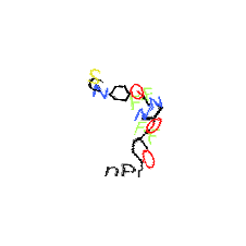 CCCC1CCC(C(F)(F)Oc2cnc(C(F)(F)OC3CCC(N=C=S)CC3)nc2)CO1